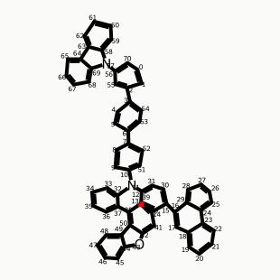 c1cc(-c2ccc(-c3ccc(N(c4ccc(-c5cc6ccccc6c6ccccc56)cc4)c4ccccc4-c4cccc5oc6ccccc6c45)cc3)cc2)cc(-n2c3ccccc3c3ccccc32)c1